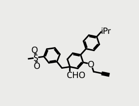 C#CCOC1=CC(C=O)(Cc2cccc(S(C)(=O)=O)c2)CC=C1c1ccc(C(C)C)cc1